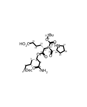 CCCCCCCCCCCCC[C@@H](CC(N)=O)OC(=O)[C@H](CCCC(=O)O)N(C(=O)OC(C)(C)C)C(=O)[C@H]1CCCN1